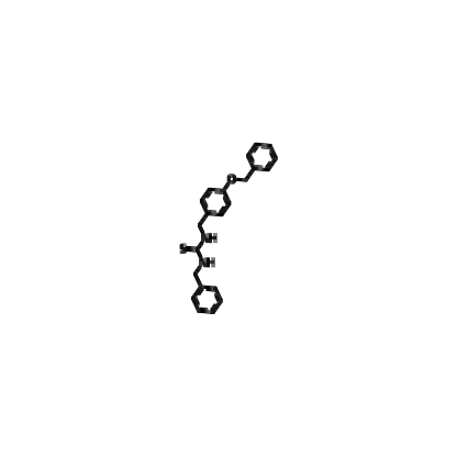 S=C(NCc1ccccc1)NCc1ccc(OCc2ccccc2)cc1